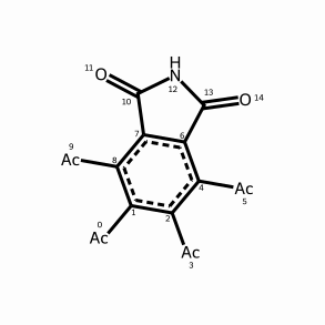 CC(=O)c1c(C(C)=O)c(C(C)=O)c2c(c1C(C)=O)C(=O)NC2=O